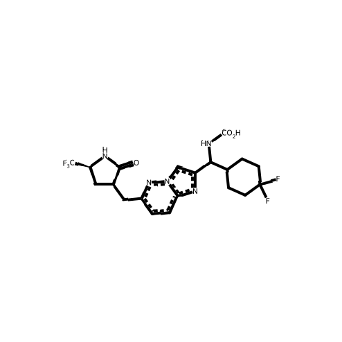 O=C(O)NC(c1cn2nc(CC3C[C@@H](C(F)(F)F)NC3=O)ccc2n1)C1CCC(F)(F)CC1